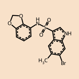 Cc1cc2c(S(=O)(=O)Nc3cccc4c3OCO4)c[nH]c2cc1Br